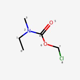 CCN(C)C(=O)OCCl